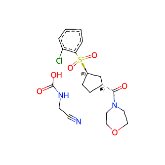 N#CCNC(=O)O.O=C([C@@H]1CC[C@@H](S(=O)(=O)c2ccccc2Cl)C1)N1CCOCC1